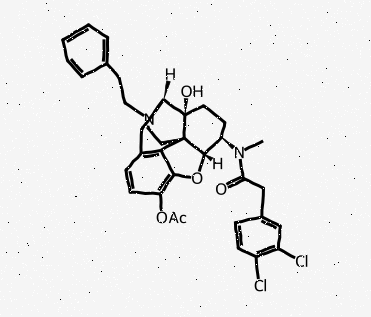 CC(=O)Oc1ccc2c3c1O[C@H]1[C@H](N(C)C(=O)Cc4ccc(Cl)c(Cl)c4)CC[C@@]4(O)[C@@H](C2)N(CCc2ccccc2)CC[C@]314